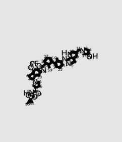 Cc1c(Nc2nccc3cc(CN4CC[C@@H](O)C4)cnc23)cccc1-c1cccc(-c2nc3cc4c(c(OC(F)(F)F)c3o2)CC[C@H]4N2CC[C@@H](C(=O)NS(=O)(=O)C3CC3)C2)c1C